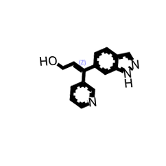 OC/C=C(\c1cccnc1)c1ccc2cn[nH]c2c1